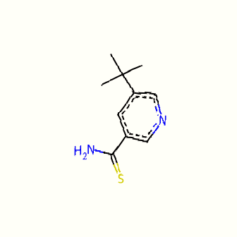 CC(C)(C)c1cncc(C(N)=S)c1